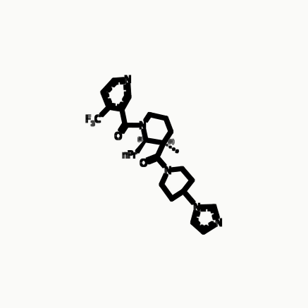 CCC[C@H]1N(C(=O)c2cnccc2C(F)(F)F)CCC[C@@]1(C)C(=O)N1CCC(n2ccnc2)CC1